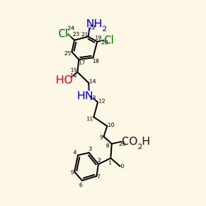 CC(c1ccccc1)C(CCCCNCC(O)c1cc(Cl)c(N)c(Cl)c1)C(=O)O